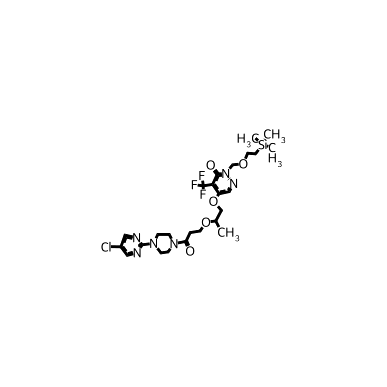 CC(COc1cnn(COCC[Si](C)(C)C)c(=O)c1C(F)(F)F)OCCC(=O)N1CCN(c2ncc(Cl)cn2)CC1